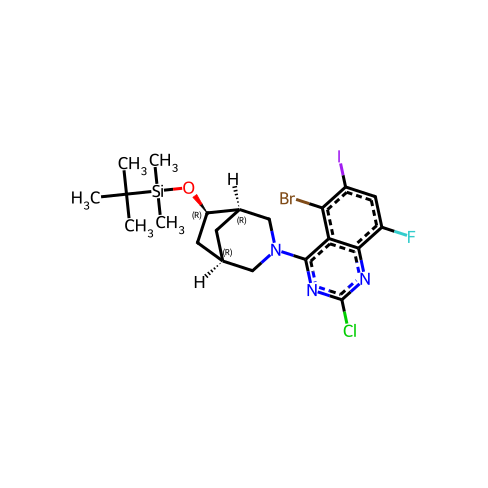 CC(C)(C)[Si](C)(C)O[C@@H]1C[C@H]2C[C@@H]1CN(c1nc(Cl)nc3c(F)cc(I)c(Br)c13)C2